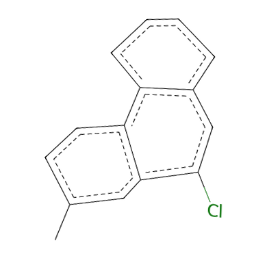 Cc1ccc2c(c1)c(Cl)cc1ccccc12